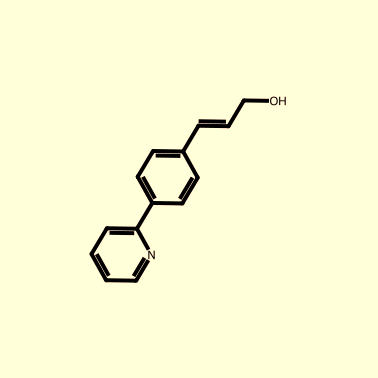 OC/C=C/c1ccc(-c2ccccn2)cc1